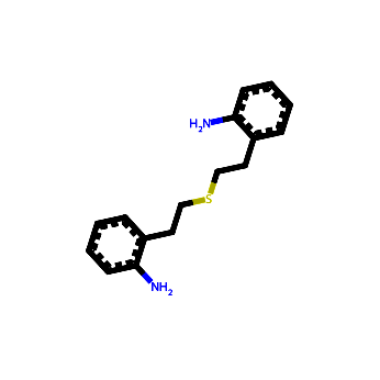 Nc1ccccc1CCSCCc1ccccc1N